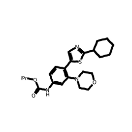 CC(C)OC(=O)Nc1ccc(-c2cnc(C3CCCCC3)s2)c(N2CCOCC2)c1